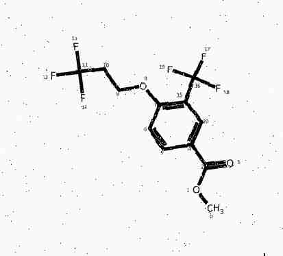 COC(=O)c1ccc(OCCC(F)(F)F)c(C(F)(F)F)c1